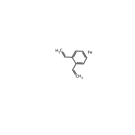 C=Cc1ccccc1C=C.[Fe]